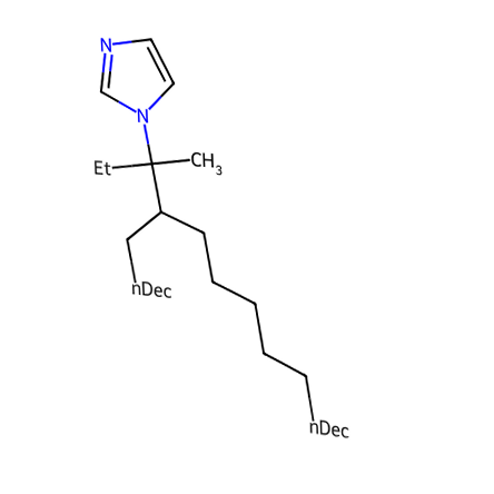 CCCCCCCCCCCCCCCC(CCCCCCCCCCC)C(C)(CC)n1ccnc1